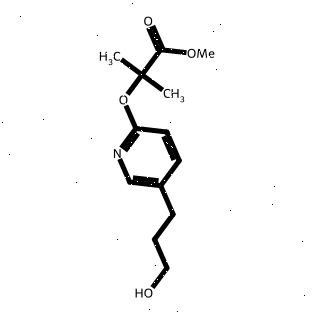 COC(=O)C(C)(C)Oc1ccc(CCCO)cn1